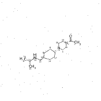 CC(=O)N1CCN([C@H]2CC[C@H](CNC(C)C)CC2)CC1